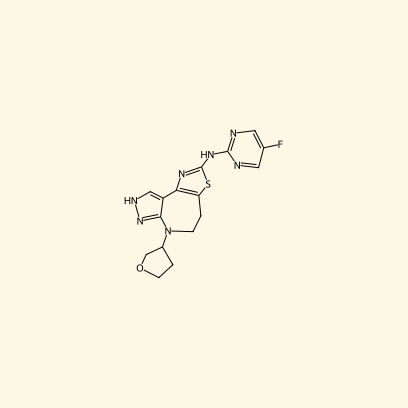 Fc1cnc(Nc2nc3c(s2)CCN(C2CCOC2)c2n[nH]cc2-3)nc1